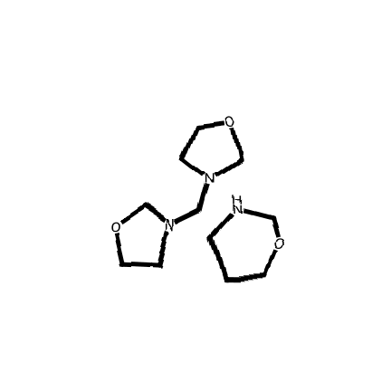 C1CN(CN2CCOC2)CO1.C1CNCOC1